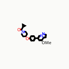 COc1cc(-c2ccc(OC3CCN(C(=O)C4CC4)CC3)cc2)cn2nccc12